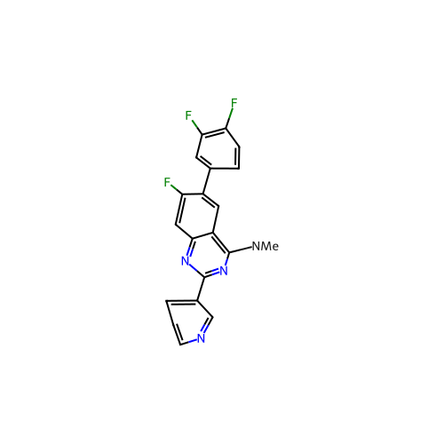 CNc1nc(-c2cccnc2)nc2cc(F)c(-c3ccc(F)c(F)c3)cc12